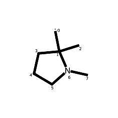 [CH2]C1(C)CCCN1C